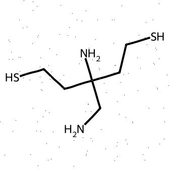 NCC(N)(CCS)CCS